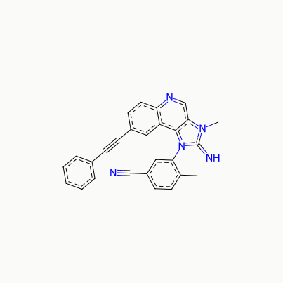 Cc1ccc(C#N)cc1-n1c(=N)n(C)c2cnc3ccc(C#Cc4ccccc4)cc3c21